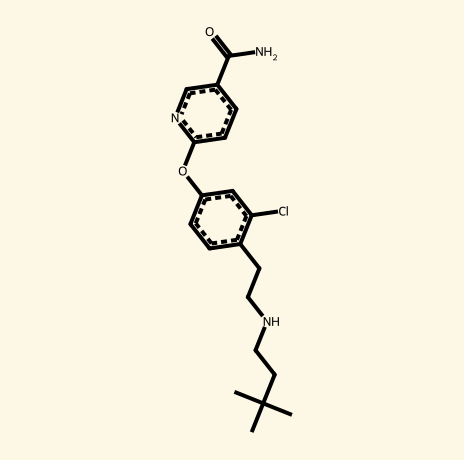 CC(C)(C)CCNCCc1ccc(Oc2ccc(C(N)=O)cn2)cc1Cl